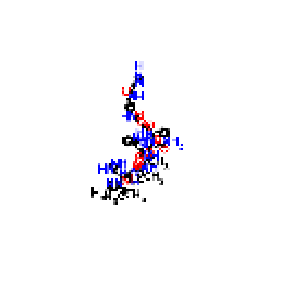 CC(C)CC(CC(C)C)NC(=O)[C@H](Cc1cnc[nH]1)NC(=O)CNC(=O)[C@@H](NC(=O)[C@H](C)NC(=O)[C@H](Cc1c[nH]c2ccccc12)NC(=O)[C@H](CCC(N)=O)NC(=O)[C@@H](Cc1ccccc1)NC(=O)COCC(=O)Nc1ccc(CNC(=O)CCc2c[nH]cn2)cc1)C(C)C